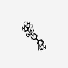 Cn1ncc(S(=O)(=O)N2CCC(c3ccc4ncnn4c3)CC2)c1Cl